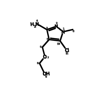 Cn1nc(N)c(COCO)c1Cl